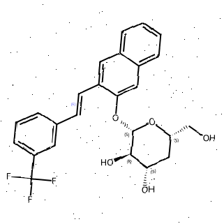 OC[C@@H]1C[C@H](O)[C@@H](O)[C@H](Oc2cc3ccccc3cc2/C=C/c2cccc(C(F)(F)F)c2)O1